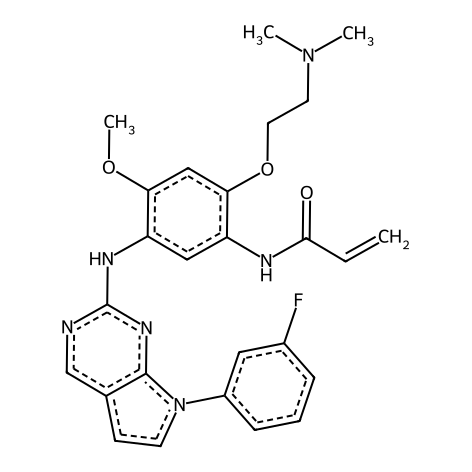 C=CC(=O)Nc1cc(Nc2ncc3ccn(-c4cccc(F)c4)c3n2)c(OC)cc1OCCN(C)C